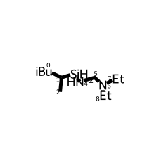 CCC(C)C(C)[SiH2]NCN(CC)CC